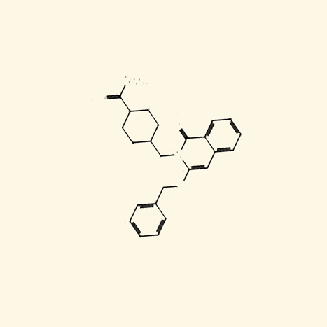 CNC(=O)C1CCC(Cn2c(SCc3ccccc3)cc3ccccc3c2=O)CC1